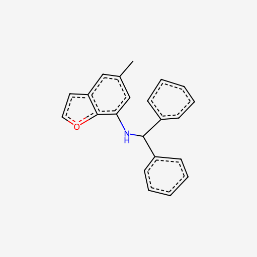 Cc1cc(NC(c2ccccc2)c2ccccc2)c2occc2c1